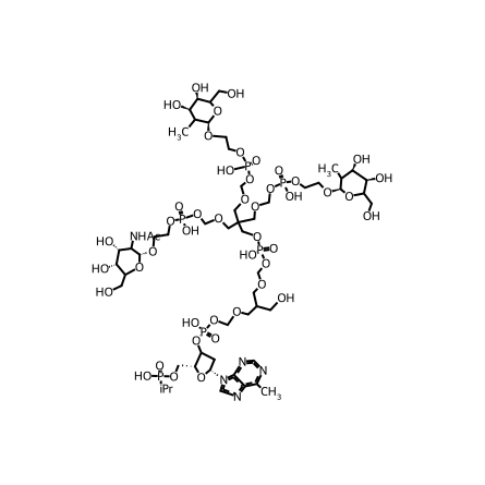 CC(=O)NC1[C@H](OCCOP(=O)(O)OCOCC(COCOP(=O)(O)OCCO[C@@H]2OC(CO)[C@H](O)[C@H](O)C2C)(COCOP(=O)(O)OCCO[C@@H]2OC(CO)[C@H](O)[C@H](O)C2C)COP(=O)(O)OCOCC(CO)COCOP(=O)(O)OC2C[C@H](n3cnc4c(C)ncnc43)O[C@@H]2COP(=O)(O)C(C)C)OC(CO)[C@H](O)[C@@H]1O